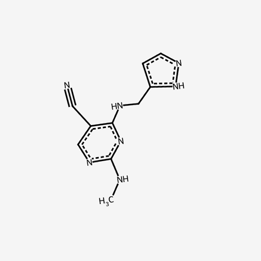 CNc1ncc(C#N)c(NCc2ccn[nH]2)n1